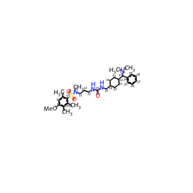 COc1cc(C)c(S(=O)(=O)N(C)CCCNC(=O)NCC2CCC(C(c3ccccc3)N(C)C)CC2)c(C)c1C